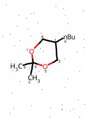 CCCCC1COC(C)(C)OC1